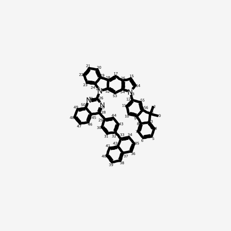 CC1(C)c2ccccc2-c2ccc(-n3ccc4cc5c6ccccc6n(-c6nc(-c7ccc(-c8cccc9ccccc89)cc7)c7ccccc7n6)c5cc43)cc21